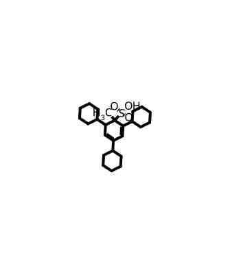 CC1(S(=O)(=O)O)C(C2CCCCC2)=CC(C2CCCCC2)=CC1C1CCCCC1